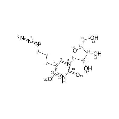 [N-]=[N+]=NCCCc1cn([C@@H]2O[C@H](CO)C(O)[C@@H]2O)c(=O)[nH]c1=O